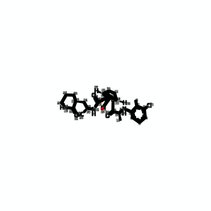 Cc1c(Cl)cccc1N[C@@H](C)C(=O)N1[C@@H]2CC[C@H]([C@H]1C(=O)N[C@@H](C#N)C[C@@H]1CCCNC1=O)C(F)(F)C2